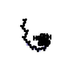 C/C(=C/COP(=O)(O)O[C@@H]1O[C@H](CO)[C@@H](O)[C@H](O)[C@@H]1O)CC/C=C(\C)CC/C=C(\C)CC/C=C(\C)CCCC(C)CCCC(C)CCCC(C)CCCC(C)C